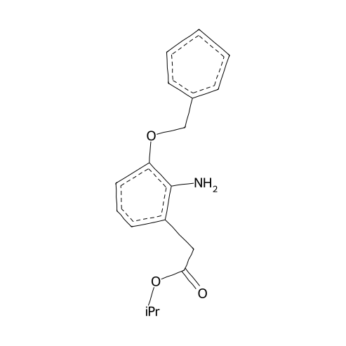 CC(C)OC(=O)Cc1cccc(OCc2ccccc2)c1N